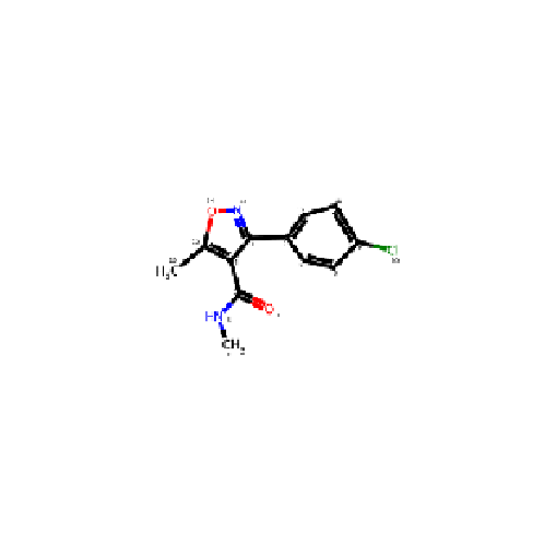 CNC(=O)c1c(-c2ccc(Cl)cc2)noc1C